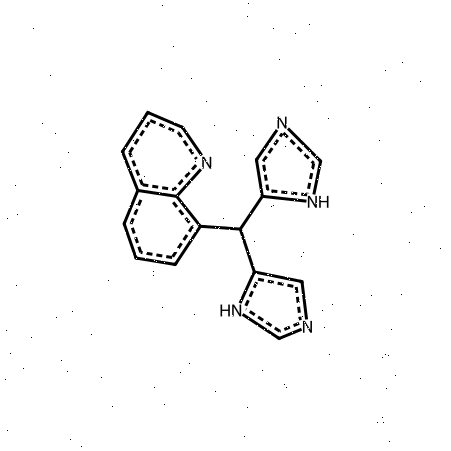 c1cnc2c(C(c3cnc[nH]3)c3cnc[nH]3)cccc2c1